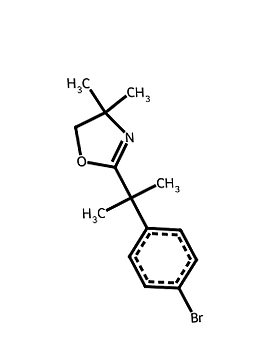 CC1(C)COC(C(C)(C)c2ccc(Br)cc2)=N1